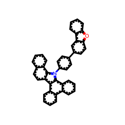 c1ccc2c(c1)ccc1c3c4ccccc4c4ccccc4c3n(-c3ccc(-c4ccc5oc6ccccc6c5c4)cc3)c21